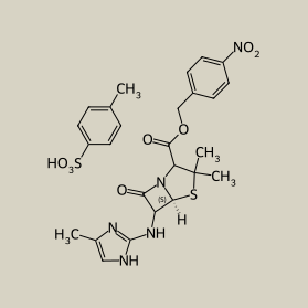 Cc1c[nH]c(NC2C(=O)N3C(C(=O)OCc4ccc([N+](=O)[O-])cc4)C(C)(C)S[C@@H]23)n1.Cc1ccc(S(=O)(=O)O)cc1